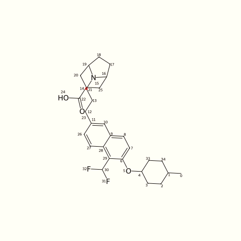 CC1CCC(Oc2ccc3cc(CCCN4C5CCC4CC(C(=O)O)C5)ccc3c2C(F)F)CC1